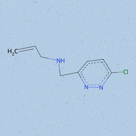 C=CCNCc1ccc(Cl)nn1